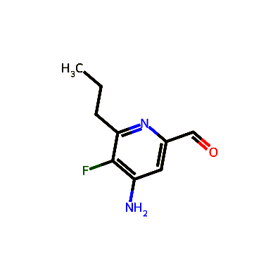 CCCc1nc(C=O)cc(N)c1F